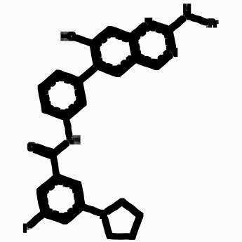 CC(C)Nc1ncc2cc(-c3cccc(NC(=O)c4cc(F)cc(N5CCCC5)c4)c3)c(O)cc2n1